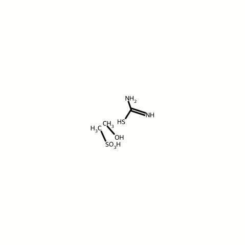 CO.CS(=O)(=O)O.N=C(N)S